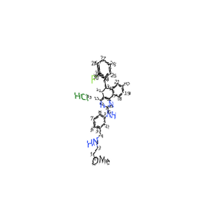 COCCNCc1cccc(Nc2ncc3c(n2)-c2ccccc2C(c2ccccc2F)C3)c1.Cl